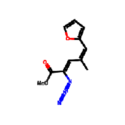 COC(=O)C(=CC(C)=Cc1ccco1)N=[N+]=[N-]